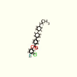 CCC[C@H]1CC[C@H](C2CCC(c3ccc(C(=O)Oc4ccc(F)c(Cl)c4)cc3)CC2)CC1